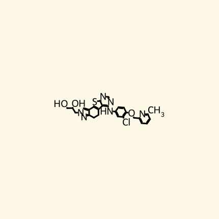 Cc1cccc(COc2ccc(Nc3ncnc4sc5c(c34)CCc3nn(C[C@@H](O)CO)cc3-5)cc2Cl)n1